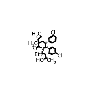 C=CC[C@@]1(C)C[C@H](c2cccc(Cl)c2)[C@@H](c2ccc(Cl)cc2)N([C@@H](CC)C[C@@H](C)O)C1=O